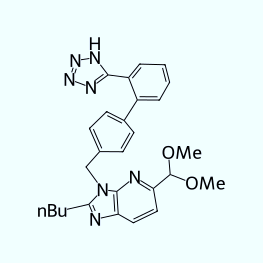 CCCCc1nc2ccc(C(OC)OC)nc2n1Cc1ccc(-c2ccccc2-c2nnn[nH]2)cc1